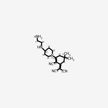 CC1(C)CC(=C(C#N)C#N)C(C#N)=C(N2CCC(NCCN)CC2)C1